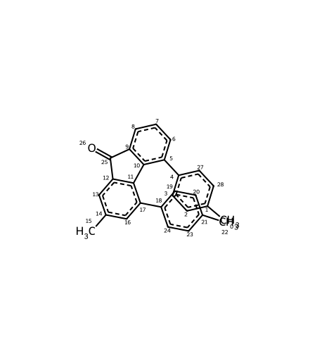 Cc1ccc(-c2cccc3c2-c2c(cc(C)cc2-c2ccc(C)cc2)C3=O)cc1